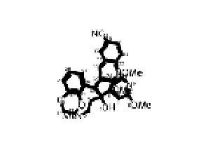 CNCCC(O)(c1cc(OC)nc(OC)c1)C(c1cc2cc(C#N)ccc2nc1OC)c1cccc2c1OCCO2